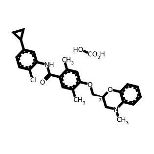 Cc1cc(C(=O)Nc2cc(C3CC3)ccc2Cl)c(C)cc1OC[C@@H]1CN(C)c2ccccc2O1.O=C(O)O